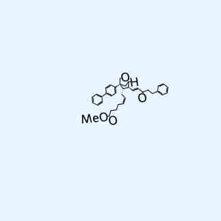 COC(=O)CCC/C=C\C[C@H]1[C@H](/C=C/C(=O)CCc2ccccc2)[C@@H]2C[C@@]1(c1ccc(-c3ccccc3)cc1)CO2